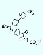 CCCCC(Oc1ccc(C(=O)NCCC(=O)O)cc1)c1ccc(-c2ccc(C(F)(F)F)cn2)cc1